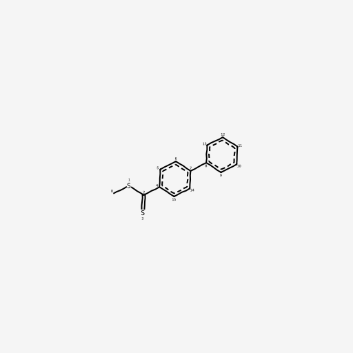 CSC(=S)c1ccc(-c2ccccc2)cc1